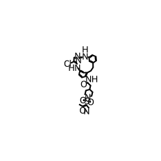 Cc1oncc1S(=O)(=O)N1CCC(CC(=O)Nc2ccc3cc2CCc2cccc(c2)Nc2ncc(Cl)c(n2)N3)CC1